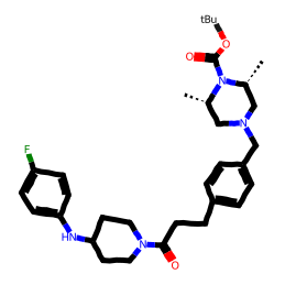 C[C@@H]1CN(Cc2ccc(CCC(=O)N3CCC(Nc4ccc(F)cc4)CC3)cc2)C[C@H](C)N1C(=O)OC(C)(C)C